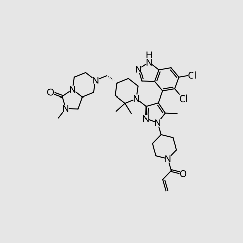 C=CC(=O)N1CCC(n2nc(N3CC[C@@H](CN4CCN5C(=O)N(C)CC5C4)CC3(C)C)c(-c3c(Cl)c(Cl)cc4[nH]ncc34)c2C)CC1